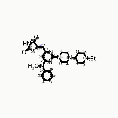 CCN1CCC(N2CCN(c3nc(/C=C4\SC(=O)NC4=O)cc(N(C)c4ccccc4)n3)CC2)CC1